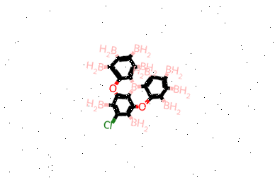 Bc1c(B)c(B)c2c(c1B)Oc1c(B)c(Cl)c(B)c3c1B2c1c(B)c(B)c(B)c(B)c1O3